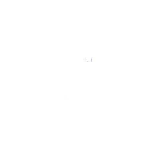 CCOc1ccc(OCC)c([NH])c1